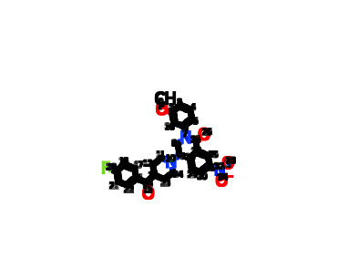 COc1cccc(N(CCN2CCC(C(=O)c3ccc(F)cc3)CC2)C(=O)c2cccc([N+](=O)[O-])c2)c1